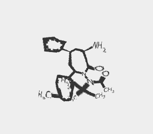 CC(=O)N(N1C(=O)[C@H](N)C[C@H](c2ccccc2)CC1c1cccc(C)c1)C(C)(C)C